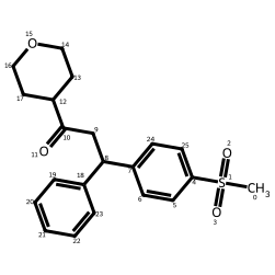 CS(=O)(=O)c1ccc(C(CC(=O)C2CCOCC2)c2ccccc2)cc1